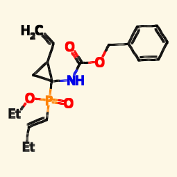 C=CC1CC1(NC(=O)OCc1ccccc1)P(=O)(/C=C/CC)OCC